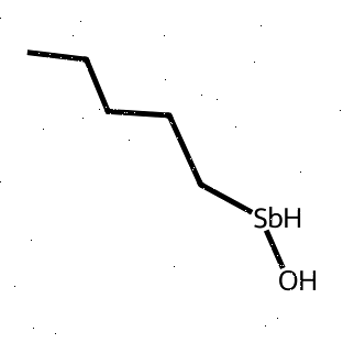 CCCC[CH2][SbH][OH]